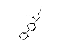 C#CC(O)(CCCC)c1ccc(-c2ccccc2Cl)cc1